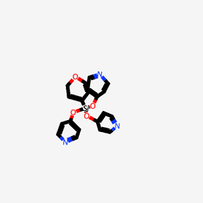 C1=CC([Si](Oc2ccncc2)(Oc2ccncc2)Oc2ccncc2)=CCO1